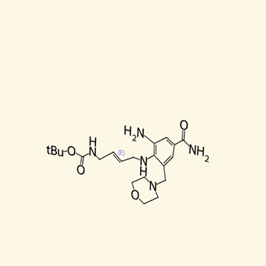 CC(C)(C)OC(=O)NC/C=C/CNc1c(N)cc(C(N)=O)cc1CN1CCOCC1